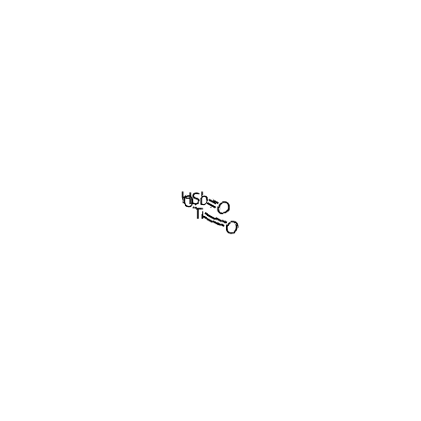 [O]=[SbH].[O]=[Ti]=[O]